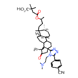 CC(CCC1(C)[C@H](C)CCC2(C)C3CCC4(c5nnc(-c6ccc(C#N)cc6)n5CCN(C)C)CC(=O)C(C(C)C)=C4C3CC[C@@H]21)OC(=O)CC(C)(C)C(=O)O